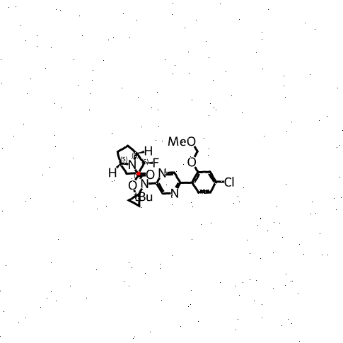 COCOc1cc(Cl)ccc1-c1cnc(N(C2CC2)[C@H]2C[C@@H]3CC[C@H]([C@H]2F)N3C(=O)OC(C)(C)C)cn1